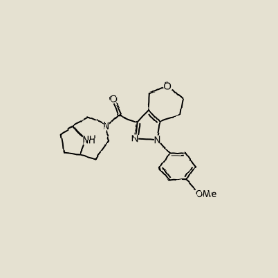 COc1ccc(-n2nc(C(=O)N3CCC4CCC(C3)N4)c3c2CCOC3)cc1